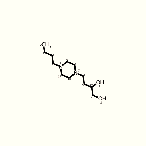 CCCCN1CCN(CCC(O)CO)CC1